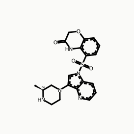 C[C@H]1CN(c2cn(S(=O)(=O)c3cccc4c3NC(=O)CO4)c3cccnc23)CCN1